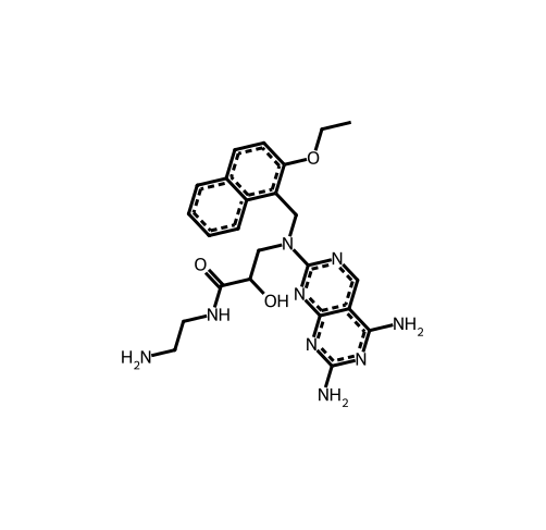 CCOc1ccc2ccccc2c1CN(CC(O)C(=O)NCCN)c1ncc2c(N)nc(N)nc2n1